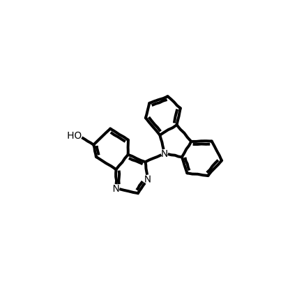 Oc1ccc2c(-n3c4ccccc4c4ccccc43)ncnc2c1